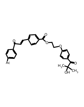 CC(=O)c1ccc(C(=O)/C=C/c2ccc(C(=O)OCCOc3ccc(C(=O)C(C)(C)O)cc3)cc2)cc1